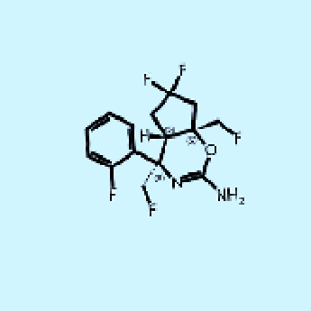 NC1=N[C@@](CF)(c2ccccc2F)[C@@H]2CC(F)(F)C[C@]2(CF)O1